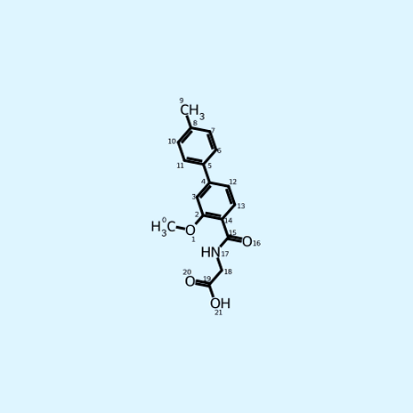 COc1cc(-c2ccc(C)cc2)ccc1C(=O)NCC(=O)O